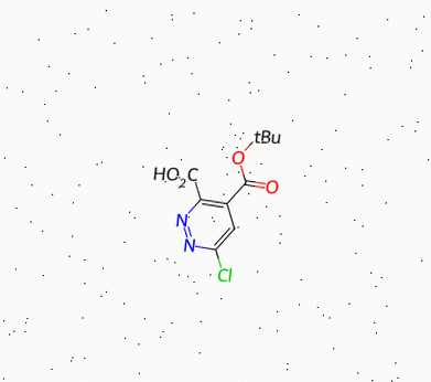 CC(C)(C)OC(=O)c1cc(Cl)nnc1C(=O)O